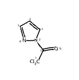 O=C(n1cccn1)C(Cl)(Cl)Cl